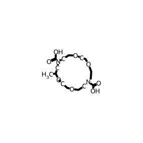 CC1CN(C(=O)O)CCOCCOCCN(C(=O)O)CCOCCO1